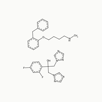 CNCCCCOc1ccccc1Cc1ccccc1.OC(Cn1cncn1)(Cn1cncn1)c1ccc(F)cc1F